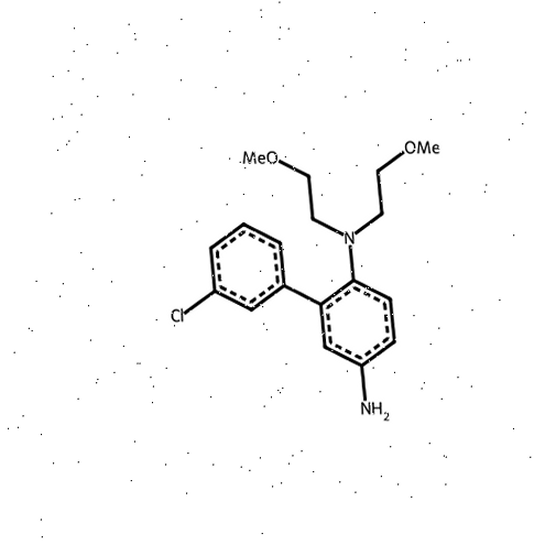 COCCN(CCOC)c1ccc(N)cc1-c1cccc(Cl)c1